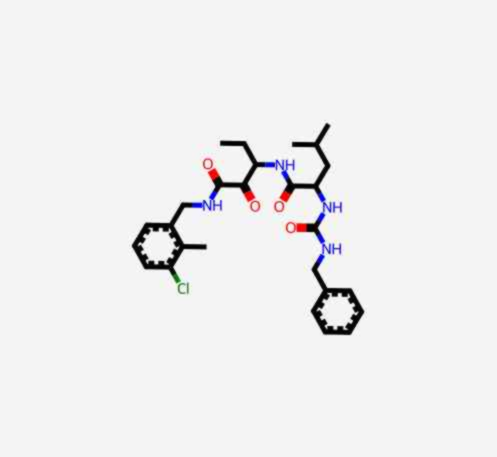 CCC(NC(=O)C(CC(C)C)NC(=O)NCc1ccccc1)C(=O)C(=O)NCc1cccc(Cl)c1C